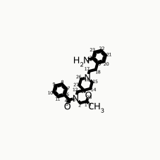 CC1CN(C(=O)c2ccccc2)CC2(CCN(CCc3ccccc3N)CC2)O1